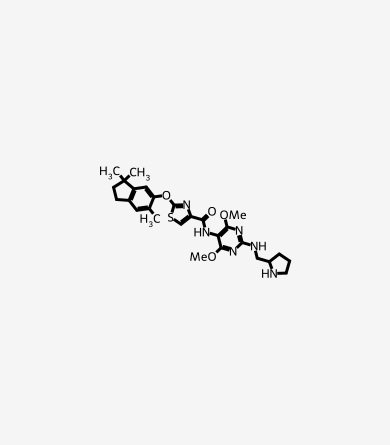 COc1nc(NCC2CCCN2)nc(OC)c1NC(=O)c1csc(Oc2cc3c(cc2C)CCC3(C)C)n1